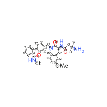 CCNC(=O)c1ccccc1-c1ccc(CN2Cc3ccc(OC)cc3CC(NC(=O)CC(C)(C)N)C2=O)cc1